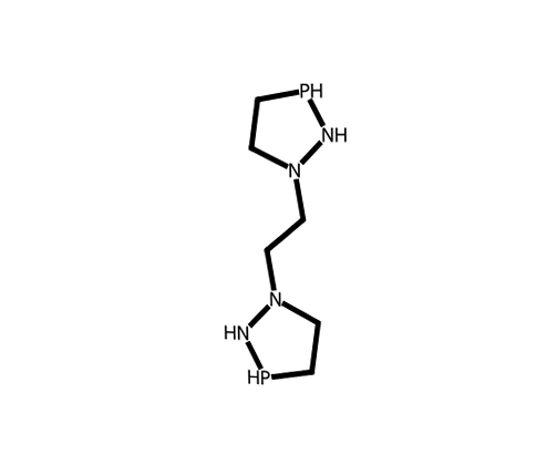 C1CN(CCN2CCPN2)NP1